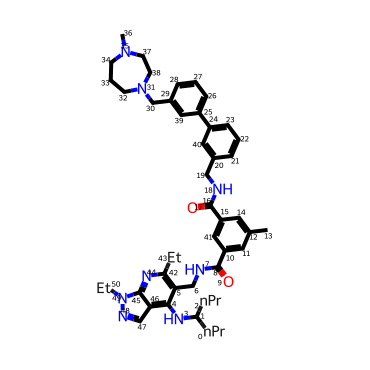 CCCC(CCC)Nc1c(CNC(=O)c2cc(C)cc(C(=O)NCc3cccc(-c4cccc(CN5CCCN(C)CC5)c4)c3)c2)c(CC)nc2c1cnn2CC